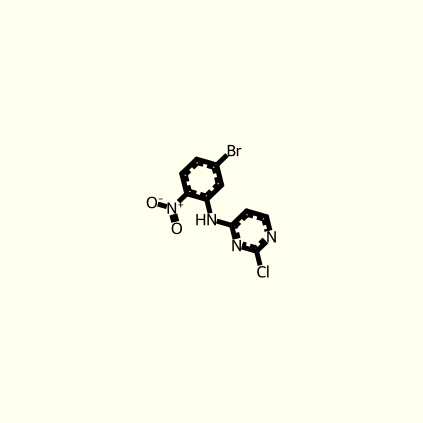 O=[N+]([O-])c1ccc(Br)cc1Nc1ccnc(Cl)n1